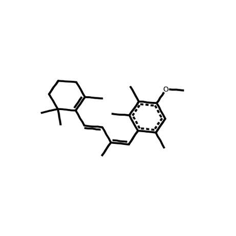 COc1cc(C)c(C=C(C)C=CC2=C(C)CCCC2(C)C)c(C)c1C